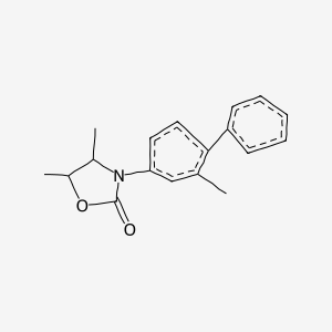 Cc1cc(N2C(=O)OC(C)C2C)ccc1-c1ccccc1